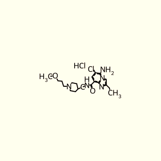 CCc1cn2c(N)c(Cl)cc(C(=O)NCC3CCN(CCCOC)CC3)c2n1.Cl